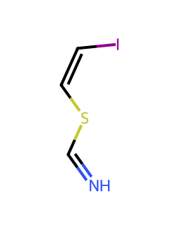 N=CS/C=C\I